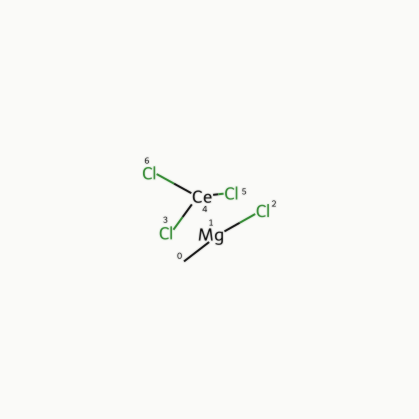 [CH3][Mg][Cl].[Cl][Ce]([Cl])[Cl]